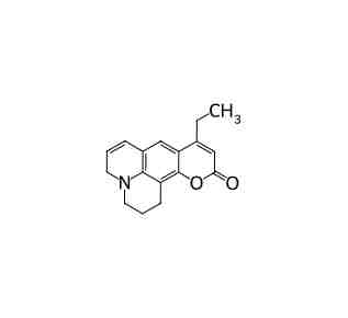 CCc1cc(=O)oc2c3c4c(cc12)C=CCN4CCC3